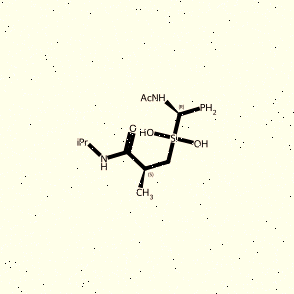 CC(=O)N[C@@H](P)[Si](O)(O)C[C@@H](C)C(=O)NC(C)C